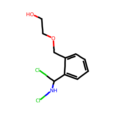 OCCOCc1ccccc1C(Cl)NCl